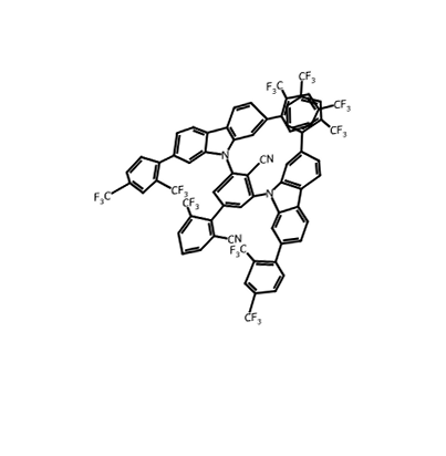 N#Cc1cccc(C(F)(F)F)c1-c1cc(-n2c3cc(-c4ccc(C(F)(F)F)cc4C(F)(F)F)ccc3c3ccc(-c4ccc(C(F)(F)F)cc4C(F)(F)F)cc32)c(C#N)c(-n2c3cc(-c4ccc(C(F)(F)F)cc4C(F)(F)F)ccc3c3ccc(-c4ccc(C(F)(F)F)cc4C(F)(F)F)cc32)c1